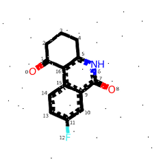 O=C1CCCc2[nH]c(=O)c3cc(F)ccc3c21